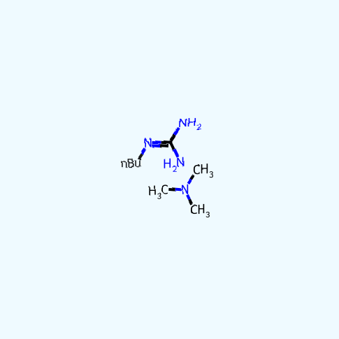 CCCCN=C(N)N.CN(C)C